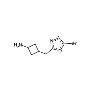 CC(C)c1nnc(CC2CC(N)C2)o1